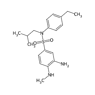 CCc1ccc(N(CC(C)C)S(=O)(=O)c2ccc(NC)c(N)c2)cc1